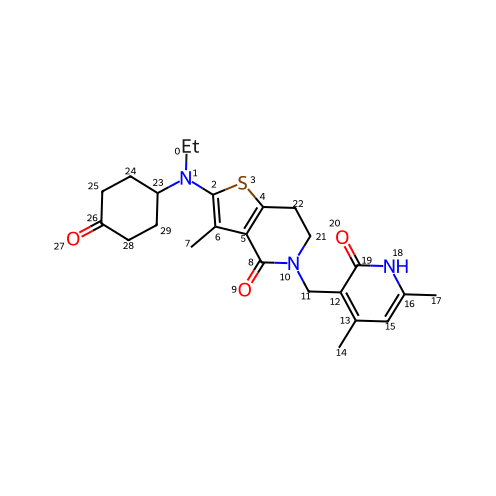 CCN(c1sc2c(c1C)C(=O)N(Cc1c(C)cc(C)[nH]c1=O)CC2)C1CCC(=O)CC1